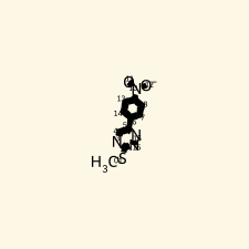 CSc1ncc(-c2ccc([N+](=O)[O-])cc2)nn1